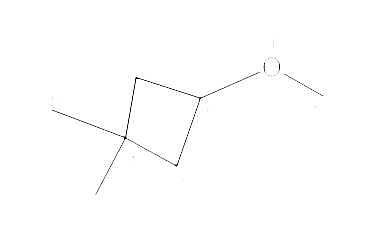 COC1CC(C)(C)C1